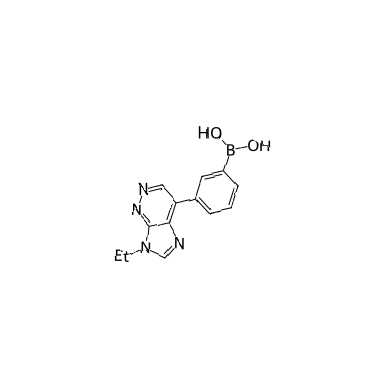 CCn1cnc2c(-c3cccc(B(O)O)c3)cnnc21